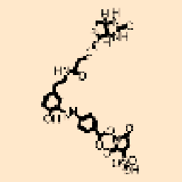 O=C(CCCC[C@@H]1SC[C@@H]2NC(=O)N[C@@H]21)NCCc1ccc(O)c(N=Nc2ccc(C(=O)ON3C(=O)CC(S(=O)(=O)O)C3=O)cc2)c1